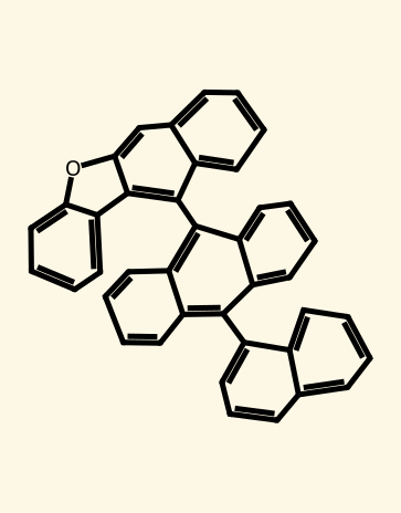 c1ccc2c(-c3c4ccccc4c(-c4c5ccccc5cc5oc6ccccc6c45)c4ccccc34)cccc2c1